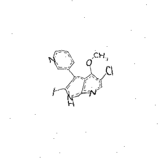 COc1c(Cl)cnc2[nH]c(I)c(-c3cccnc3)c12